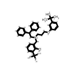 CC(C)(O)c1cccc(OCCCN(Cc2cccc(C(F)(F)F)c2Cl)CC(c2ccccc2)c2ccccc2)c1